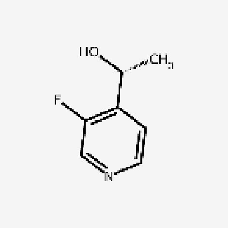 C[C@@H](O)c1ccncc1F